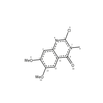 COc1cc2nc(Cl)n(C)c(=O)c2cc1OC